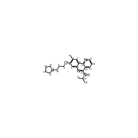 Cc1cc2c(cc1OCCCN1CCCC1)nc(NC(C)C)c1cccnc12